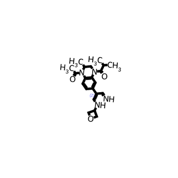 CC(=O)N1c2ccc(/C(C=N)=C/NC3COC3)cc2N(C(=O)C(C)C)CC1C